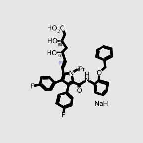 CC(C)n1c(/C=C/[C@@H](O)C[C@@H](O)CC(=O)O)c(-c2ccc(F)cc2)c(-c2ccc(F)cc2)c1C(=O)Nc1ccccc1OCc1ccccc1.[NaH]